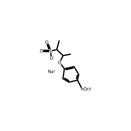 CCCCCCCCc1ccc(OC(C)C(C)S(=O)(=O)[O-])cc1.[Na+]